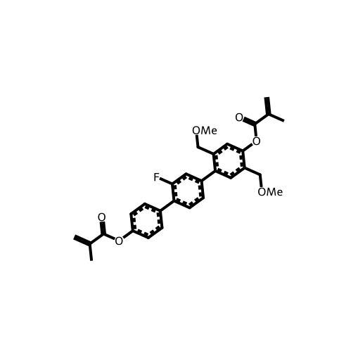 C=C(C)C(=O)Oc1ccc(-c2ccc(-c3cc(COC)c(OC(=O)C(=C)C)cc3COC)cc2F)cc1